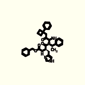 C[C@@H](c1ccccc1)N(C(=O)[C@H](Cc1c[nH]cn1)NC(=O)OCc1ccccc1)C(N)C(=O)CC1(c2ccccc2)CCC1